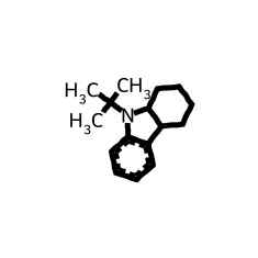 CC(C)(C)N1c2ccccc2C2CCCCC21